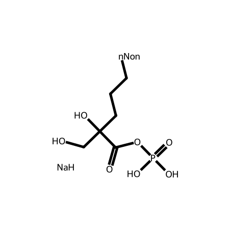 CCCCCCCCCCCCC(O)(CO)C(=O)OP(=O)(O)O.[NaH]